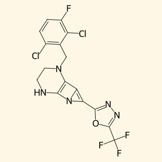 Fc1ccc(Cl)c(CN2CCNc3c2c2c(-c4nnc(C(F)(F)F)o4)n3-2)c1Cl